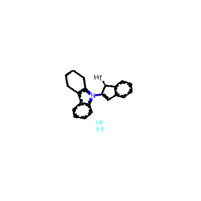 F.F.[Hf][C@@H]1C(n2c3c(c4ccccc42)CCCC3)=Cc2ccccc21